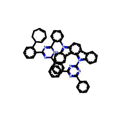 C1=CCCC(c2ccccc2C2=NC(c3ccccc3)NC(c3ccccc3-n3c4ccccc4c4c3ccc3c5ccccc5n(-c5nc(-c6ccccc6)nc(-c6ccccc6)n5)c34)=N2)C=C1